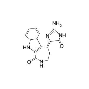 NC1=N/C(=C2/CCNC(=O)C3=C2C2C=CC=CC2N3)C(=O)N1